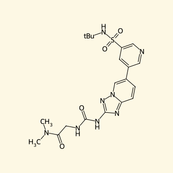 CN(C)C(=O)CNC(=O)Nc1nc2ccc(-c3cncc(S(=O)(=O)NC(C)(C)C)c3)cn2n1